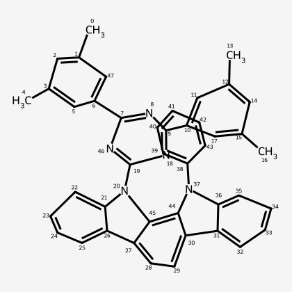 Cc1cc(C)cc(-c2nc(-c3cc(C)cc(C)c3)nc(-n3c4ccccc4c4ccc5c6ccccc6n(-c6ccccc6)c5c43)n2)c1